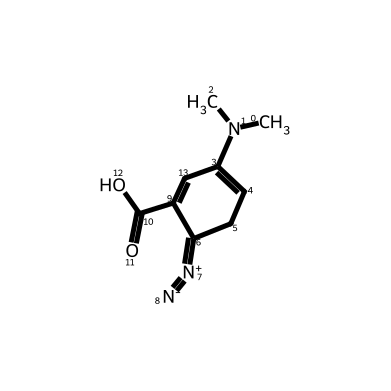 CN(C)C1=CCC(=[N+]=[N-])C(C(=O)O)=C1